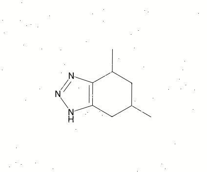 CC1Cc2[nH]nnc2C(C)C1